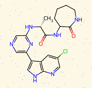 C[C@@H](Nc1cncc(-c2c[nH]c3ncc(Cl)cc23)n1)C(=O)NC1CCCCNC1=O